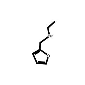 [CH2]CNCc1ccco1